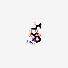 C=C(C)C(=O)C1COC(=O)C(SC(=S)N(CC)CC)(c2ccccc2)C(=O)O1